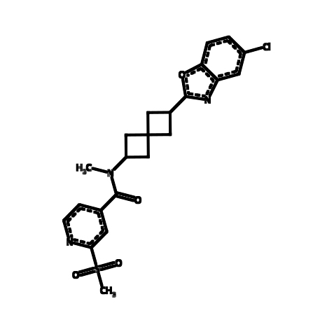 CN(C(=O)c1ccnc(S(C)(=O)=O)c1)C1CC2(CC(c3nc4cc(Cl)ccc4o3)C2)C1